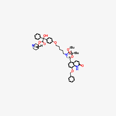 CC(C)(C)OC(=O)N(CCCCCOc1ccc(C(O)(C(=O)O[C@H]2CN3CCC2CC3)c2ccccc2)cc1)C[C@H](O[Si](C)(C)C(C)(C)C)c1ccc(OCc2ccccc2)c2[nH]c(=O)ccc12